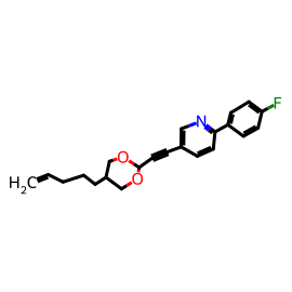 C=CCCCC1COC(C#Cc2ccc(-c3ccc(F)cc3)nc2)OC1